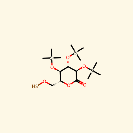 C[Si](C)(C)O[C@H]1[C@H](O[Si](C)(C)C)[C@@H](O[Si](C)(C)C)C(=O)O[C@@H]1COS